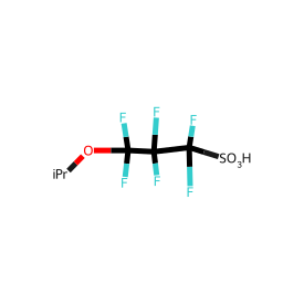 CC(C)OC(F)(F)C(F)(F)C(F)(F)S(=O)(=O)O